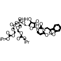 CC(C)OC(=O)OCOP(=O)(OCOC(=O)OC(C)C)OP(=O)(O)OC[C@H]1O[C@@H](n2ccc(=O)n(Cc3noc4ccccc34)c2=O)C(O)C1O